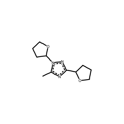 Cc1nc(C2CCCO2)nn1C1CCCO1